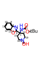 CC(C)(C)OC(=O)NC1(c2nc3ccccc3o2)CCN(O)CC1